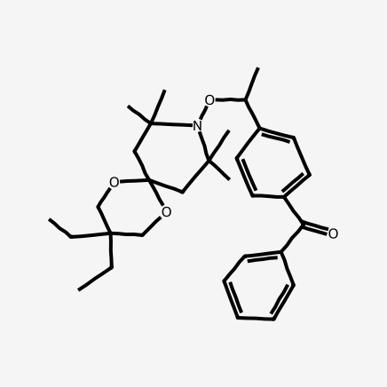 CCC1(CC)COC2(CC(C)(C)N(OC(C)c3ccc(C(=O)c4ccccc4)cc3)C(C)(C)C2)OC1